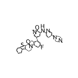 [CH2]c1c(-c2cc(Nc3ccc(N4CCN(C)CC4)cn3)c(=O)n(C)c2)cc(F)cc1N1CCc2c(sc3ccccc23)C1=O